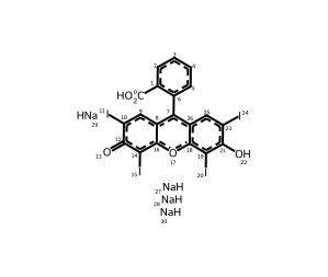 O=C(O)c1ccccc1-c1c2cc(I)c(=O)c(I)c-2oc2c(I)c(O)c(I)cc12.[NaH].[NaH].[NaH].[NaH]